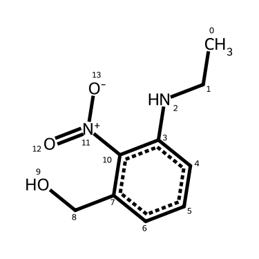 CCNc1cccc(CO)c1[N+](=O)[O-]